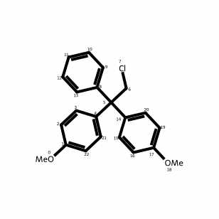 COc1ccc(C(CCl)(c2ccccc2)c2ccc(OC)cc2)cc1